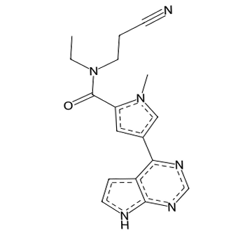 CCN(CCC#N)C(=O)c1cc(-c2ncnc3[nH]ccc23)cn1C